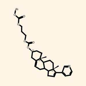 CC(C)OC(=O)OCCCOC(=O)O[C@H]1CC[C@@]2(C)C(=CCC3C2CC[C@]2(C)C(c4cccnc4)=CCC32)C1